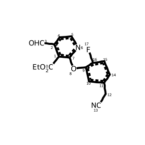 CCOC(=O)c1c(C=O)ccnc1Oc1cc(CC#N)ccc1F